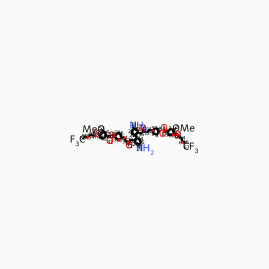 COc1cc(C(=O)Oc2ccc(/C=C/C(=O)Cc3cc(N)ccc3-c3ccc(N)cc3CC(=O)/C=C/c3ccc(OC(=O)c4ccc(OCCCCC(F)(F)F)c(OC)c4)cc3)cc2)ccc1OCCCCC(F)(F)F